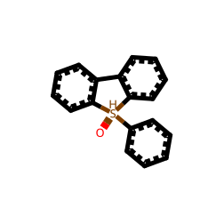 O=[SH]1(c2ccccc2)c2ccccc2-c2ccccc21